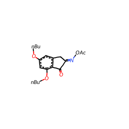 CCCCOc1cc2c(c(OCCCC)c1)C(=O)C(=NOC(C)=O)C2